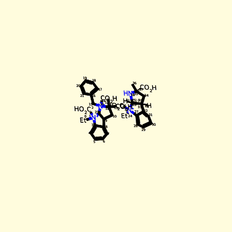 CC[N+]1(C(=O)O)c2ccccc2C2CC(C)(C(=O)O)[N+](Cc3ccccc3)(C(=O)O)C21.CC[N+]1(C(=O)O)c2ccccc2[C@H]2C[C@@](C)(C(=O)O)N[C@H]21